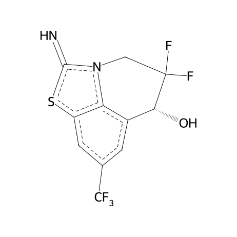 N=c1sc2cc(C(F)(F)F)cc3c2n1CC(F)(F)[C@@H]3O